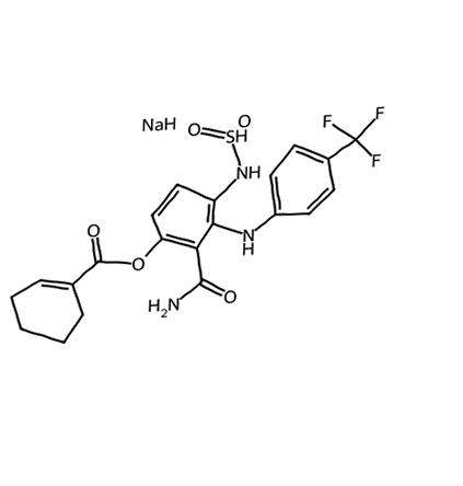 NC(=O)c1c(OC(=O)C2=CCCCC2)ccc(N[SH](=O)=O)c1Nc1ccc(C(F)(F)F)cc1.[NaH]